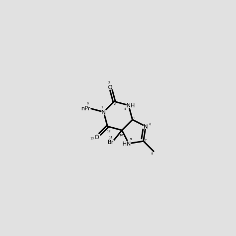 CCCN1C(=O)NC2N=C(C)NC2(Br)C1=O